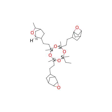 CC[Si]1(C)O[Si](C)(CCC2CC3CC2C2OC32)O[Si](C)(CCC2CC3C[C@@H]2OC3C)O[Si](C)(CCC2CC3CC24CC3O4)O1